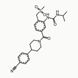 CC(C)NC(=O)Nc1cc(C(=O)N2CCC(c3ccc(C#N)cc3)CC2)ccc1CS(C)(=O)=O